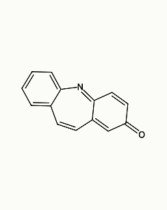 O=c1ccc2nc3ccccc3ccc-2c1